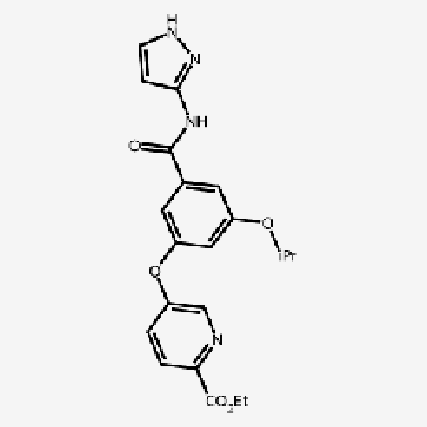 CCOC(=O)c1ccc(Oc2cc(OC(C)C)cc(C(=O)Nc3cc[nH]n3)c2)cn1